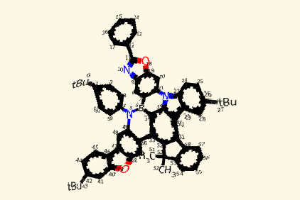 CC(C)(C)c1ccc(N2B3c4cc5nc(-c6ccccc6)oc5cc4-n4c5ccc(C(C)(C)C)cc5c5c6c(c(c3c54)-c3cc4oc5cc(C(C)(C)C)ccc5c4cc32)C(C)(C)c2ccccc2-6)cc1